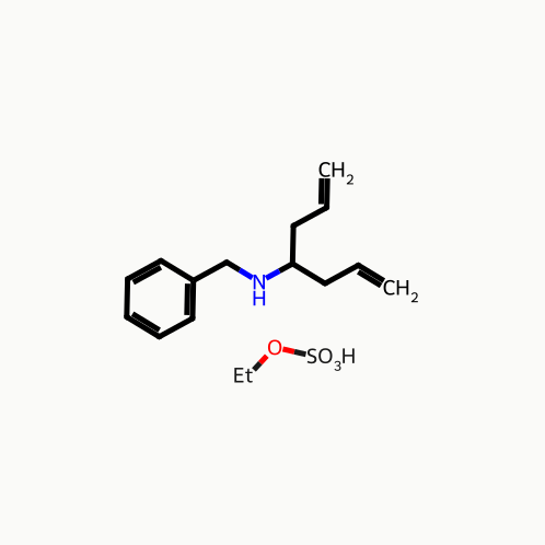 C=CCC(CC=C)NCc1ccccc1.CCOS(=O)(=O)O